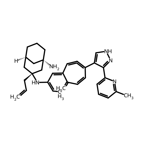 C=CC[C@@]1(NC(/C=C2/C=C=C(c3c[nH]nc3-c3cccc(C)n3)C=CC2=C)=C/C)C[C@H]2CCC[C@](N)(C2)C1